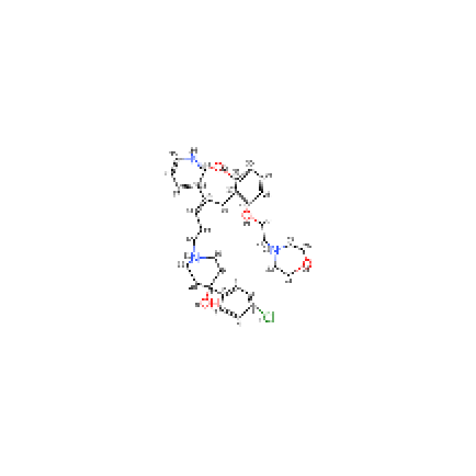 OC1(c2ccc(Cl)cc2)CCN(CCC=C2Cc3c(OCCN4CCOCC4)cccc3Oc3ncccc32)CC1